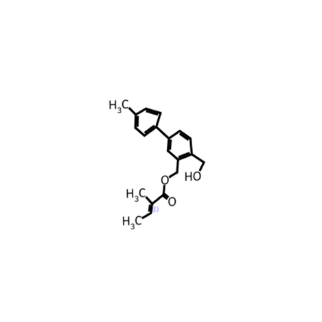 C/C=C(\C)C(=O)OCc1cc(-c2ccc(C)cc2)ccc1CO